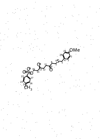 COc1ccc(CSCCC(=O)CCC(=O)CCOS(=O)(=O)c2ccc(C)cc2)cc1